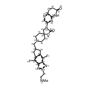 CNCCn1nc2c(F)c3c(c(F)c2n1)CC(CN1CCC2(CC1)CN(c1cnc4c(n1)NC(=O)CO4)C(=O)O2)C3